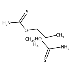 C.C.CCCOC(N)=S.NC(O)=S